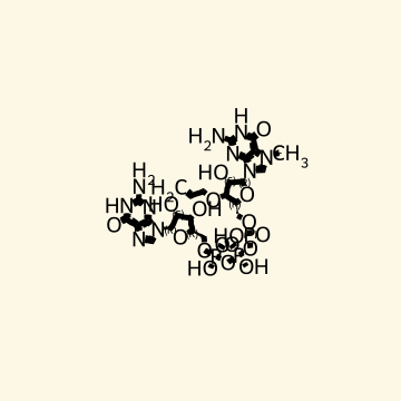 C=CCOC1[C@@H](COP(=O)(O)OP(=O)(O)OP(=O)(O)OC[C@H]2O[C@@H](n3cnc4c(=O)[nH]c(N)nc43)[C@@H](O)C2O)O[C@@H](n2c[n+](C)c3c(=O)[nH]c(N)nc32)[C@H]1O